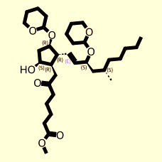 CCCCC[C@H](C)C[C@@H](/C=C/[C@@H]1[C@@H](CC(=O)CCCCC(=O)OC)[C@@H](O)C[C@H]1OC1CCCCO1)OC1CCCCO1